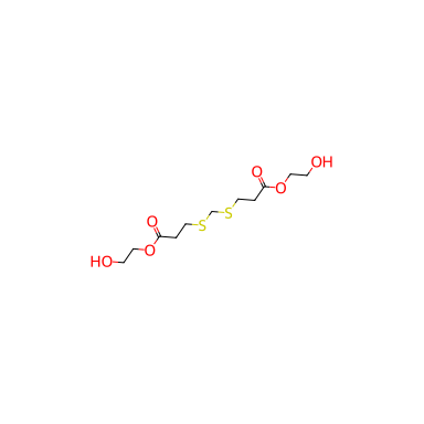 O=C(CCSCSCCC(=O)OCCO)OCCO